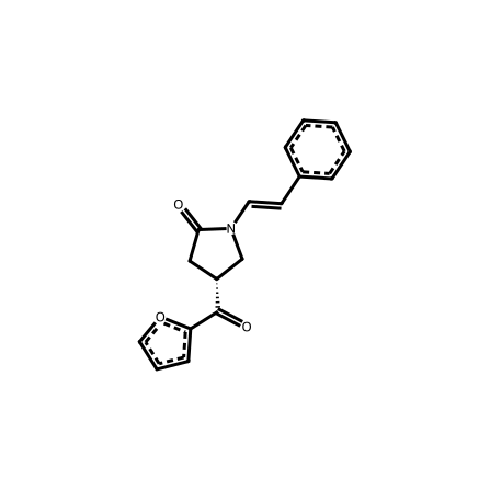 O=C(c1ccco1)[C@@H]1CC(=O)N(C=Cc2ccccc2)C1